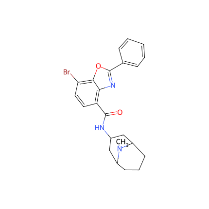 CN1C2CCCC1CC(NC(=O)c1ccc(Br)c3oc(-c4ccccc4)nc13)C2